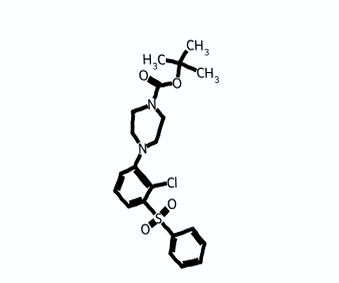 CC(C)(C)OC(=O)N1CCN(c2cccc(S(=O)(=O)c3ccccc3)c2Cl)CC1